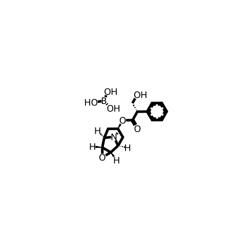 CN1[C@@H]2C[C@@H](OC(=O)[C@H](CO)c3ccccc3)C[C@H]1[C@@H]1O[C@@H]12.OB(O)O